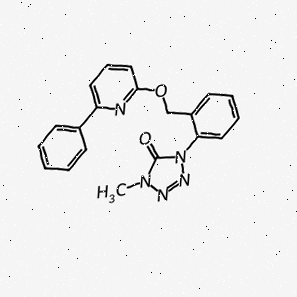 Cn1nnn(-c2ccccc2COc2cccc(-c3ccccc3)n2)c1=O